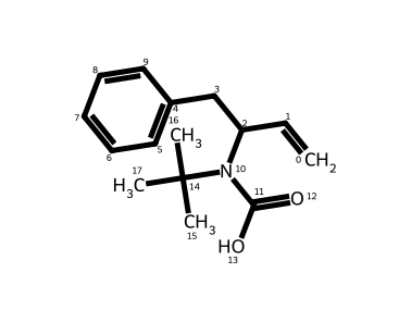 C=CC(Cc1ccccc1)N(C(=O)O)C(C)(C)C